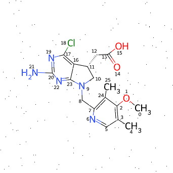 COc1c(C)cnc(CN2C[C@@H](CC(=O)O)c3c(Cl)nc(N)nc32)c1C